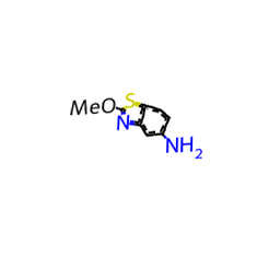 COc1nc2cc(N)ccc2s1